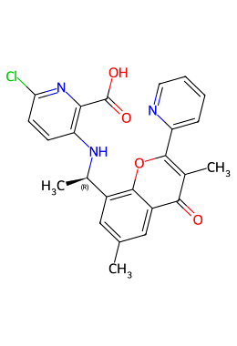 Cc1cc([C@@H](C)Nc2ccc(Cl)nc2C(=O)O)c2oc(-c3ccccn3)c(C)c(=O)c2c1